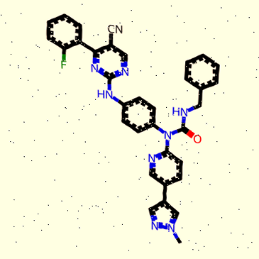 Cn1cc(-c2ccc(N(C(=O)NCc3ccccc3)c3ccc(Nc4ncc(C#N)c(-c5ccccc5F)n4)cc3)nc2)cn1